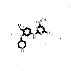 CNc1cc(C)nc(Nc2ccc(OC)c(OC3CCNCC3)c2)n1